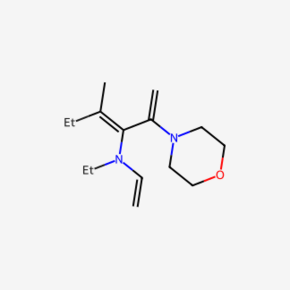 C=CN(CC)/C(C(=C)N1CCOCC1)=C(/C)CC